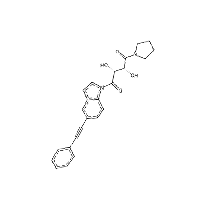 O=C([C@H](O)[C@@H](O)C(=O)n1ccc2cc(C#Cc3ccccc3)ccc21)N1CCCC1